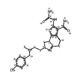 CN(CCN1CC2C(=N1)CCc1c2sc(NC(N)=O)c1C(N)=O)Cc1ccc(Cl)cc1